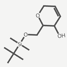 CC(C)(C)[Si](C)(C)OCC1OCC=CC1O